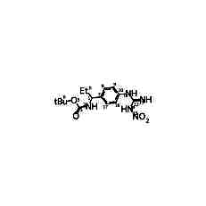 CCC(NC(=O)OC(C)(C)C)c1ccc(NC(=N)N[N+](=O)[O-])cc1